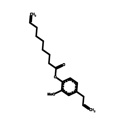 C=CCCCCCCC(=O)Oc1ccc(CC=C)cc1OC